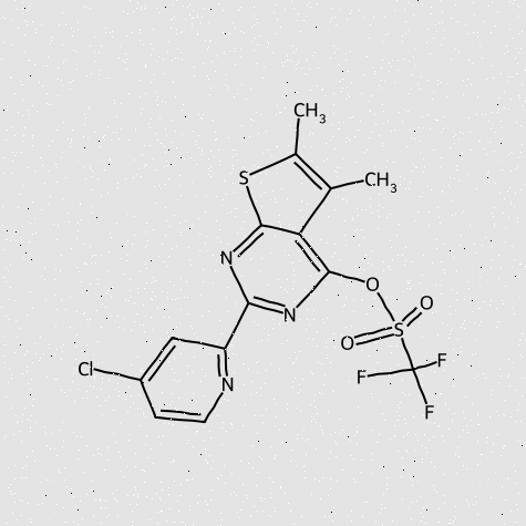 Cc1sc2nc(-c3cc(Cl)ccn3)nc(OS(=O)(=O)C(F)(F)F)c2c1C